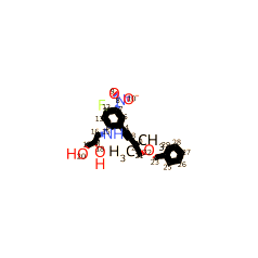 CC(C)(C#Cc1cc([N+](=O)[O-])c(F)cc1NC[C@@H](O)CO)COCc1ccccc1